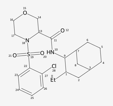 CCC1CC2CCCC(C2)C1NC(=O)C1COCCN1S(=O)(=O)c1ccccc1Cl